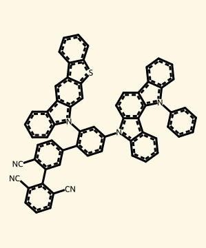 N#Cc1ccc(-c2ccc(-n3c4ccccc4c4c3ccc3c5ccccc5n(-c5ccccc5)c34)cc2-n2c3ccccc3c3cc4c(cc32)sc2ccccc24)cc1-c1c(C#N)cccc1C#N